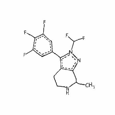 CC1NCCc2c1nn(C(F)F)c2-c1cc(F)c(F)c(F)c1